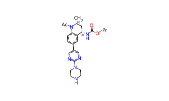 CC(=O)N1c2ccc(-c3cnc(N4CCNCC4)nc3)cc2[C@@H](NC(=O)OC(C)C)C[C@H]1C